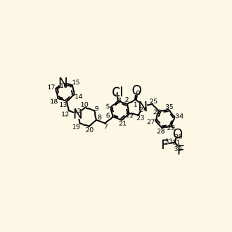 O=C1c2c(Cl)cc(CC3CCN(Cc4ccncc4)CC3)cc2CN1Cc1ccc(OC(F)F)cc1